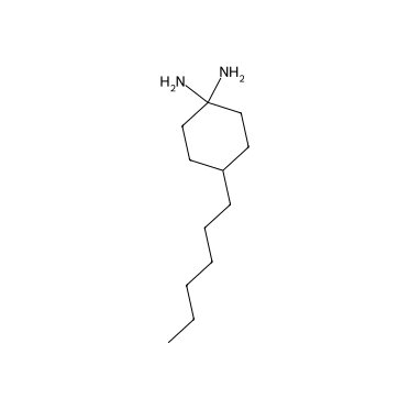 CCCCCCC1CCC(N)(N)CC1